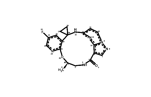 C[C@@H]1CNC(=O)c2cnn3ccc(nc23)NC2(CC2)c2cc(F)cnc2O1